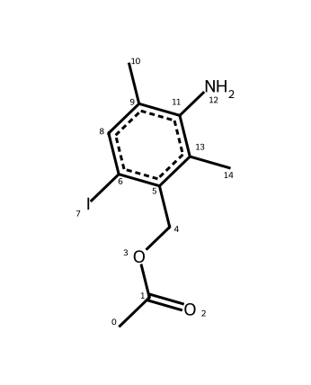 CC(=O)OCc1c(I)cc(C)c(N)c1C